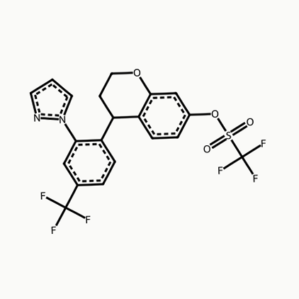 O=S(=O)(Oc1ccc2c(c1)OCCC2c1ccc(C(F)(F)F)cc1-n1cccn1)C(F)(F)F